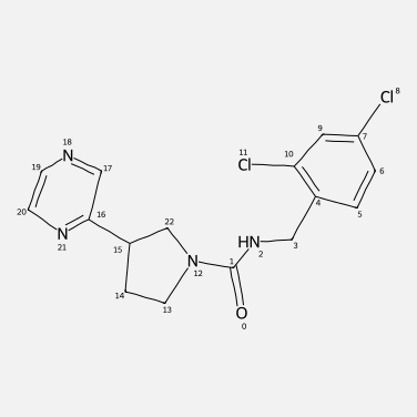 O=C(NCc1ccc(Cl)cc1Cl)N1CCC(c2cnccn2)C1